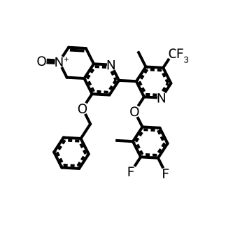 Cc1c(Oc2ncc(C(F)(F)F)c(C)c2-c2cc(OCc3ccccc3)c3c(n2)C=C[N+](=O)C3)ccc(F)c1F